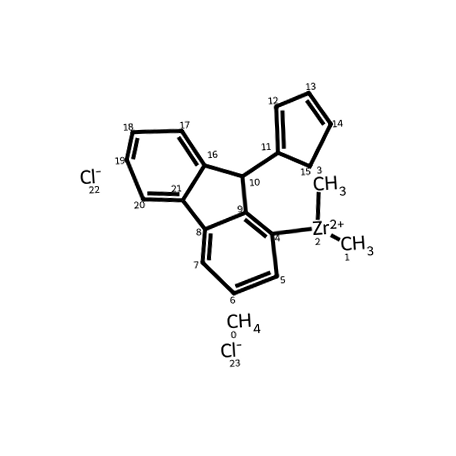 C.[CH3][Zr+2]([CH3])[c]1cccc2c1C(C1=CC=CC1)c1ccccc1-2.[Cl-].[Cl-]